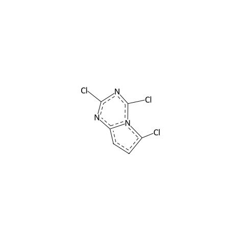 Clc1nc(Cl)n2c(Cl)ccc2n1